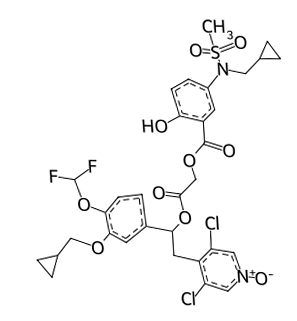 CS(=O)(=O)N(CC1CC1)c1ccc(O)c(C(=O)OCC(=O)OC(Cc2c(Cl)c[n+]([O-])cc2Cl)c2ccc(OC(F)F)c(OCC3CC3)c2)c1